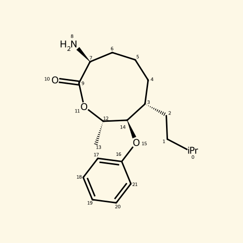 CC(C)CC[C@H]1CCC[C@H](N)C(=O)O[C@@H](C)[C@@H]1Oc1ccccc1